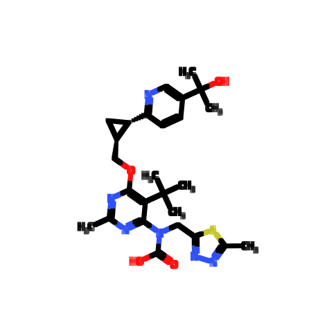 Cc1nc(OC[C@H]2C[C@@H]2c2ccc(C(C)(C)O)cn2)c(C(C)(C)C)c(N(Cc2nnc(C)s2)C(=O)O)n1